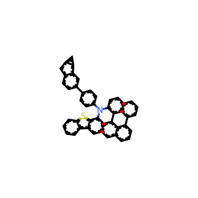 c1ccc(-c2cccc3cccc(-c4ccccc4N(c4ccc(-c5ccc6cc7cc-7c6c5)cc4)c4cccc5c4sc4ccccc45)c23)cc1